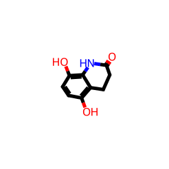 O=C1CCc2c(O)ccc(O)c2N1